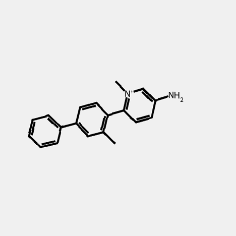 Cc1cc(-c2ccccc2)ccc1-c1ccc(N)c[n+]1C